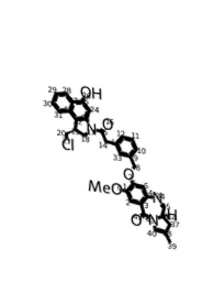 COc1cc2c(cc1OCc1cccc(CC(=O)N3C[C@@H](CCl)c4c3cc(O)c3ccccc43)c1)N=C[C@@H]1CC(C)=CN1C2=O